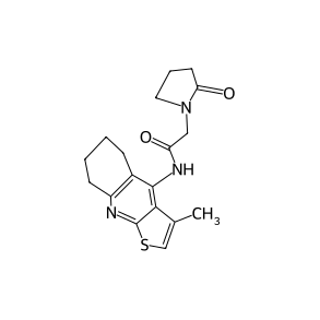 Cc1csc2nc3c(c(NC(=O)CN4CCCC4=O)c12)CCCC3